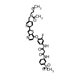 COCCN(Cc1ccc(-c2cc3nccc(Oc4ccc(NC(=O)CC(=O)Nc5cccc(S(C)(=O)=O)c5)cc4F)c3s2)nc1)C(C)=O